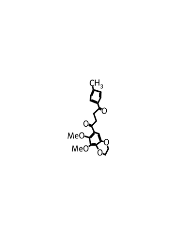 COc1c(C(=O)CCC(=O)c2ccc(C)cc2)cc2c(c1OC)OCCO2